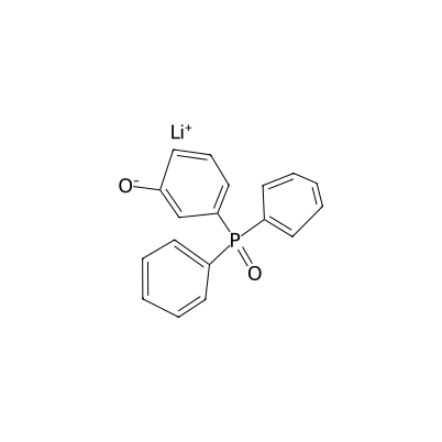 O=P(c1ccccc1)(c1ccccc1)c1cccc([O-])c1.[Li+]